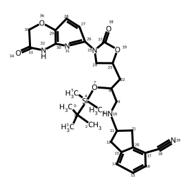 CC(C)(C)[Si](C)(C)OC(CNC1Cc2cccc(C#N)c2C1)CC1CN(c2ccc3c(n2)NC(=O)CO3)C(=O)O1